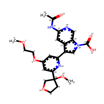 COCCOc1cc(-c2cn(C(=O)O)c3cnc(NC(C)=O)cc23)nc(C2(OC)CCOC2)c1